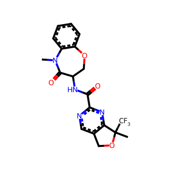 CN1C(=O)C(NC(=O)c2ncc3c(n2)C(C)(C(F)(F)F)OC3)COc2ccccc21